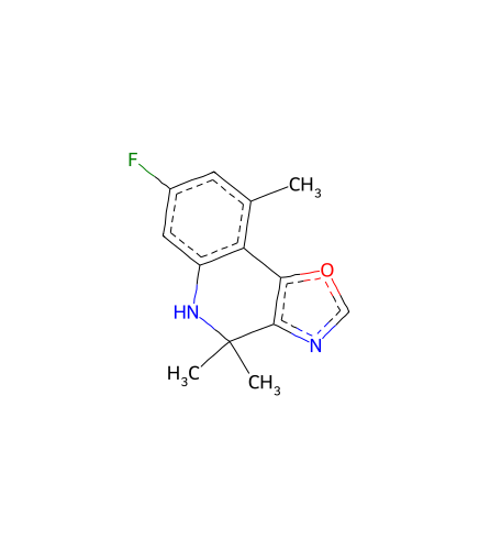 Cc1cc(F)cc2c1-c1ocnc1C(C)(C)N2